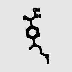 CN(CCOI)c1ccc(C(=O)NO)cn1